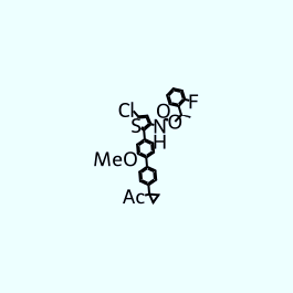 COc1cc(-c2sc(Cl)cc2NC(=O)O[C@H](C)c2ccccc2F)ccc1-c1ccc(C2(C(C)=O)CC2)cc1